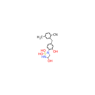 Cc1ccc(C#N)c(Cc2ccc(N3CC(O)NS3(O)O)c(O)c2)c1